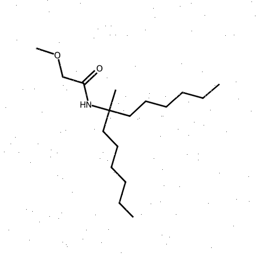 CCCCCCC(C)(CCCCCC)NC(=O)COC